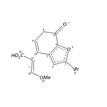 CC(C)c1cc2c(o1)C(=O)CC=C2.CO/C=C/C(=O)O